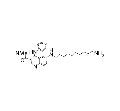 CNC(=O)c1cnc2ccc(NCCCCCCCCCCN)cc2c1Nc1ccccc1